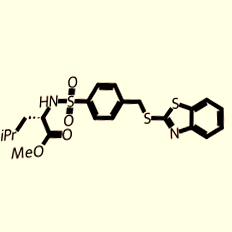 COC(=O)[C@H](CC(C)C)NS(=O)(=O)c1ccc(CSc2nc3ccccc3s2)cc1